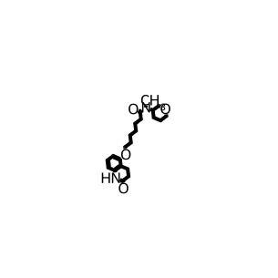 CN(C(=O)CCCCCCOc1cccc2c1CCC(=O)N2)C1CCCOC1